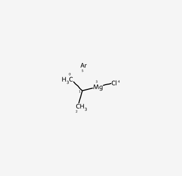 C[CH](C)[Mg][Cl].[Ar]